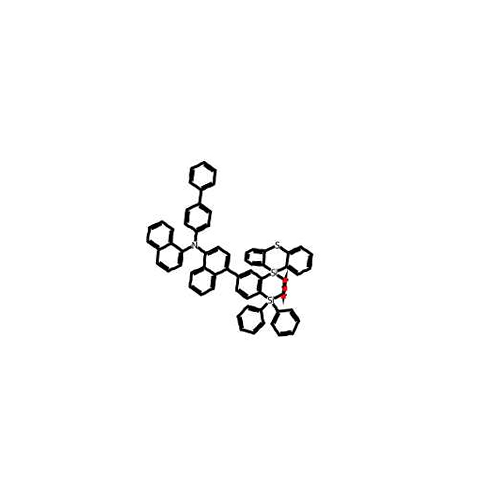 c1ccc(-c2ccc(N(c3cccc4ccccc34)c3ccc(-c4ccc5c(c4)[Si]4(c6ccccc6Sc6ccccc64)c4ccccc4[Si]5(c4ccccc4)c4ccccc4)c4ccccc34)cc2)cc1